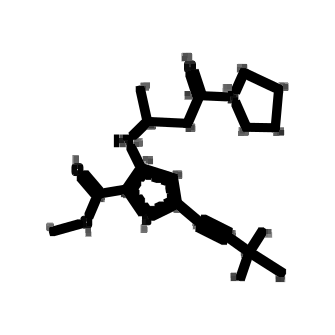 COC(=O)c1sc(C#CC(C)(C)C)cc1NC(C)CC(=O)N1CCCC1